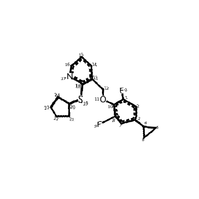 Fc1cc(C2CC2)cc(F)c1OCc1cccnc1SC1CCCC1